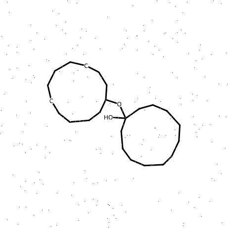 OC1(OC2CCCCCCCCCCC2)CCCCCCCCCCC1